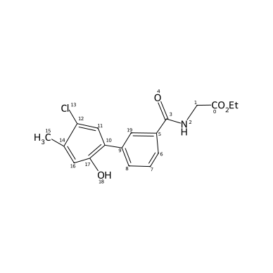 CCOC(=O)CNC(=O)c1cccc(-c2cc(Cl)c(C)cc2O)c1